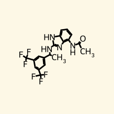 CC(=O)Nc1cccc2[nH]c(NC(C)c3cc(C(F)(F)F)cc(C(F)(F)F)c3)nc12